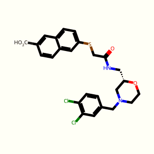 O=C(CSc1ccc2cc(C(=O)O)ccc2c1)NC[C@H]1CN(Cc2ccc(Cl)c(Cl)c2)CCO1